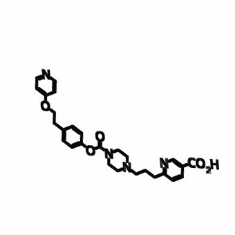 O=C(O)c1ccc(CCCN2CCN(C(=O)Oc3ccc(CCOc4ccncc4)cc3)CC2)nc1